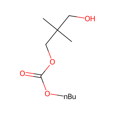 [CH2]CCCOC(=O)OCC(C)(C)CO